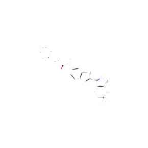 CN(C(=O)COC1CCCOC1)c1ccc2cc(-c3n[nH]c4c3CCC(C)(C)C4)[nH]c2c1